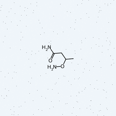 CC(CC(N)=O)ON